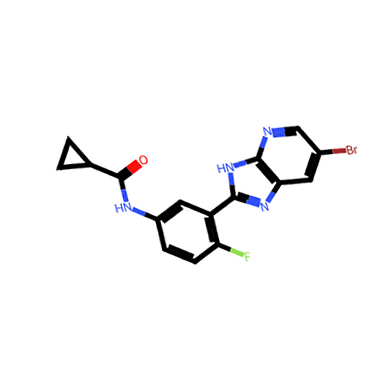 O=C(Nc1ccc(F)c(-c2nc3cc(Br)cnc3[nH]2)c1)C1CC1